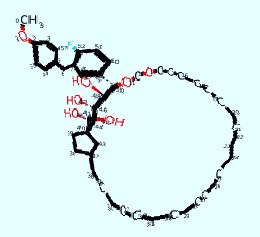 COc1ccc(Cc2cc([C@@H]3OCOCCCCCCCCCCCCCCCCCCCCCCCC4CC[C@@](CO)(C4)[C@H](O)[C@H](O)[C@H]3O)ccc2F)cc1